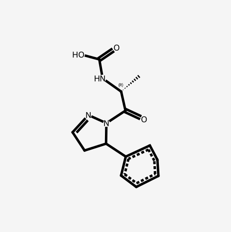 C[C@@H](NC(=O)O)C(=O)N1N=CCC1c1ccccc1